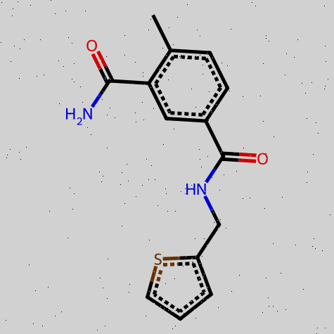 Cc1ccc(C(=O)NCc2cccs2)cc1C(N)=O